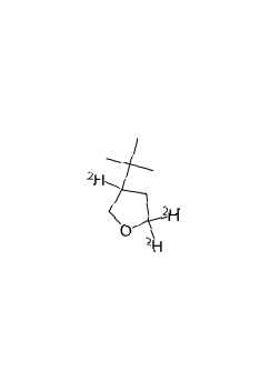 [2H]C1([2H])CC([2H])(C(C)(C)C)CO1